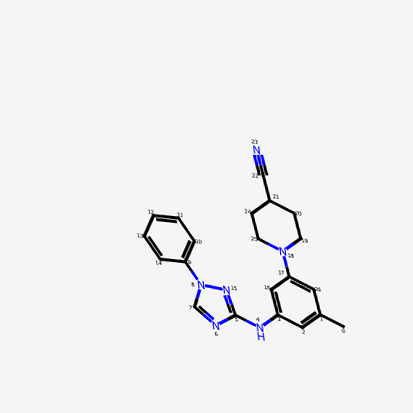 Cc1cc(Nc2ncn(-c3ccccc3)n2)cc(N2CCC(C#N)CC2)c1